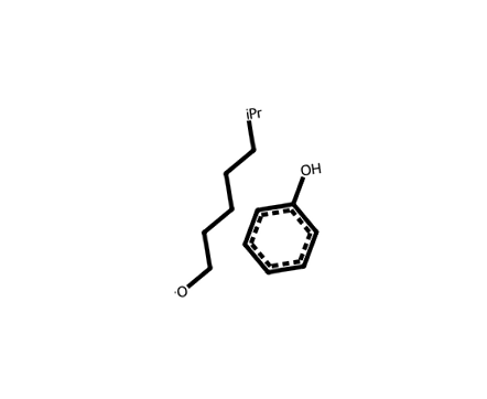 CC(C)CCCCC[O].Oc1ccccc1